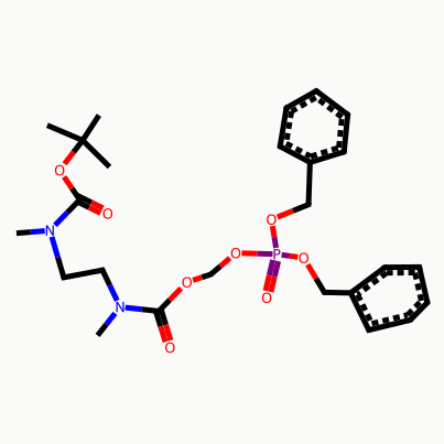 CN(CCN(C)C(=O)OC(C)(C)C)C(=O)OCOP(=O)(OCc1ccccc1)OCc1ccccc1